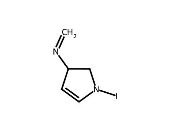 C=NC1C=CN(I)C1